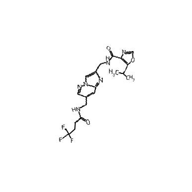 CC(C)c1ocnc1C(=O)NCc1cn2ncc(CNC(=O)CCC(F)(F)F)cc2n1